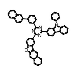 c1ccc(-n2c3ccccc3c3ccc(-c4nc(-c5cccc(-c6ccc7ccccc7c6)c5)nc(-c5ccc6oc7cc8ccccc8cc7c6c5)n4)cc32)cc1